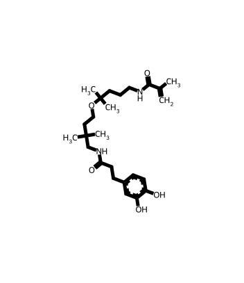 C=C(C)C(=O)NCCCC(C)(C)OCCC(C)(C)CNC(=O)CCc1ccc(O)c(O)c1